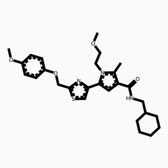 COCCn1c(-c2csc(COc3ccc(OC)cc3)n2)cc(C(=O)NCC2CCCCC2)c1C